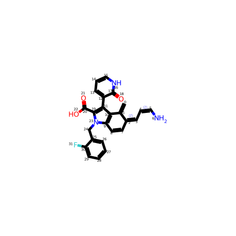 C=c1/c(=C\C=C/N)ccc2c1c(-c1ccc[nH]c1=O)c(C(=O)O)n2Cc1ccccc1F